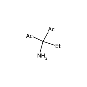 CCC(N)(C(C)=O)C(C)=O